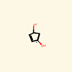 OC1C=C[C@H](O)C1